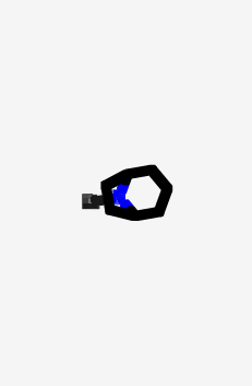 [CH2]CN1C2CCCC1CC2